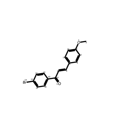 COc1ccc(C=CC(=O)c2ccc(Br)cc2)cc1